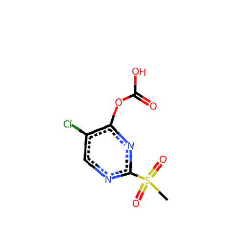 CS(=O)(=O)c1ncc(Cl)c(OC(=O)O)n1